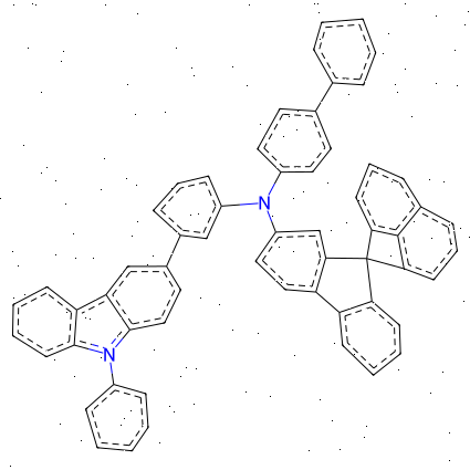 c1ccc(-c2ccc(N(c3cccc(-c4ccc5c(c4)c4ccccc4n5-c4ccccc4)c3)c3ccc4c(c3)C3(c5ccccc5-4)c4cccc5cccc3c45)cc2)cc1